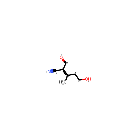 C/C(CCO)=C(\C#N)C=O